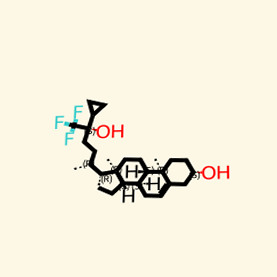 C[C@H](CC[C@](O)(C1CC1)C(F)(F)F)[C@H]1CC[C@H]2[C@@H]3CC=C4C[C@@H](O)CC[C@]4(C)[C@H]3CC[C@]12C